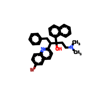 CN(C)CCC(O)(c1cccc2ccccc12)C(Cc1ccccc1)c1ccc2cc(Br)ccc2n1